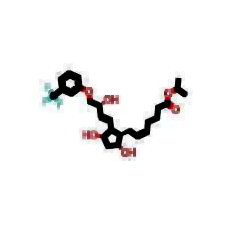 CC(C)OC(=O)CCC/C=C\C[C@@H]1C(/C=C/[C@@H](O)COc2cccc(C(F)(F)F)c2)[C@H](O)C[C@@H]1O